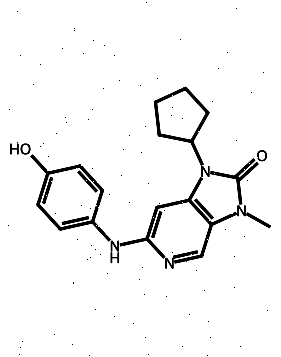 Cn1c(=O)n(C2CCCC2)c2cc(Nc3ccc(O)cc3)ncc21